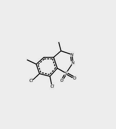 Cc1cc2c(c(Cl)c1Cl)S(=O)(=O)N=NC2C